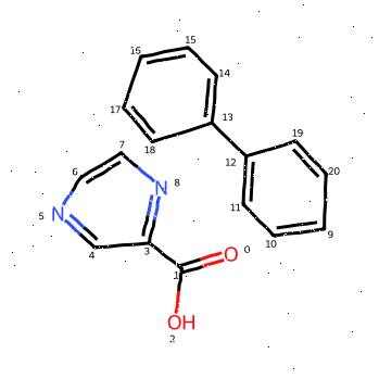 O=C(O)c1cnccn1.c1ccc(-c2ccccc2)cc1